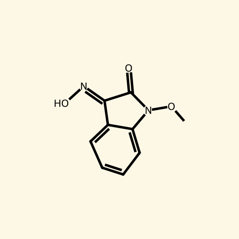 CON1C(=O)/C(=N/O)c2ccccc21